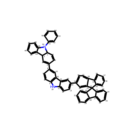 C1=CC2C(C=C1c1ccc3[nH]c4ccc(-c5ccc6c(c5)C5(c7ccccc7-c7ccccc75)c5ccccc5-6)cc4c3c1)c1ccccc1N2c1ccccc1